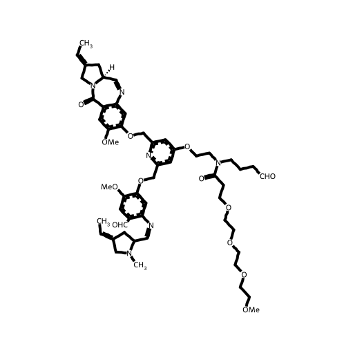 C/C=C1\CC(/C=N\c2cc(OCc3cc(OCCN(CCCC=O)C(=O)CCOCCOCCOCCOC)cc(COc4cc5c(cc4OC)C(=O)N4C/C(=C/C)C[C@H]4C=N5)n3)c(OC)cc2C=O)N(C)C1